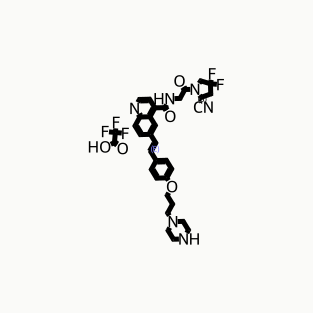 N#C[C@@H]1CC(F)(F)CN1C(=O)CNC(=O)c1ccnc2ccc(/C=C/c3ccc(OCCCN4CCNCC4)cc3)cc12.O=C(O)C(F)(F)F